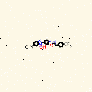 O=C(/C=C/c1ccc(C(F)(F)F)cc1)Nc1ccc(-c2nc3ccc([N+](=O)[O-])cc3n2O)cc1